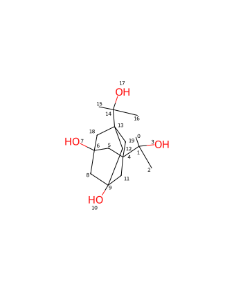 CC(C)(O)C12CC3(O)CC(O)(C1)CC(C(C)(C)O)(C3)C2